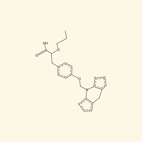 CCCOC(Cc1ccc(OCN2c3sccc3Cc3ccsc32)cc1)C(=O)O